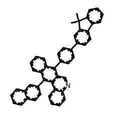 CC1(C)c2ccccc2-c2ccc(-c3ccc(-c4c5ccccc5c(-c5ccc6ccccc6c5)c5c4cnc4ccccc45)cc3)cc21